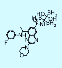 BC(O)(O)C(B)(B)NC(=O)c1cc(C(C)Nc2cccc(F)c2)c2nc(N3CCOCC3)cnc2c1